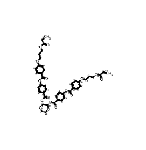 C=CC(=O)OCCCOc1ccc(C(=O)Oc2ccc(C(=O)O[C@H]3OCCO[C@@H]3OC(=O)c3ccc(OC(=O)c4ccc(OCCCOC(=O)C=C)cc4)cc3)cc2)cc1